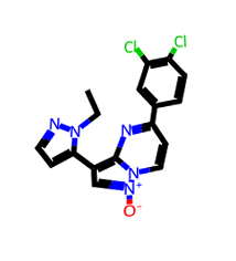 CCn1nccc1-c1c[n+]([O-])n2ccc(-c3ccc(Cl)c(Cl)c3)nc12